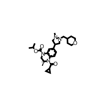 CC(C)OC(=O)N1C[C@H](C)N(C(=O)C2CC2)c2ccc(C3CN(C)N(CC4CCOCC4)C3)cc21